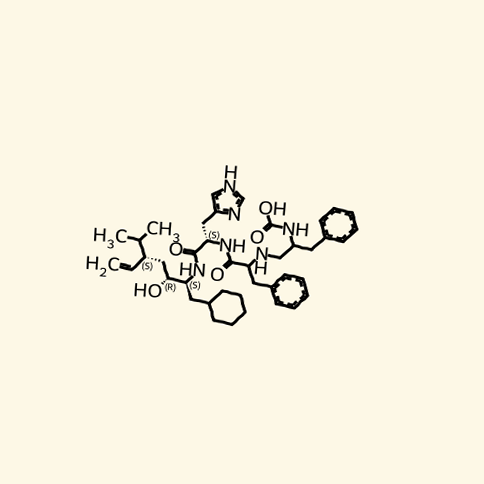 C=C[C@@H](C[C@@H](O)[C@H](CC1CCCCC1)NC(=O)[C@H](Cc1c[nH]cn1)NC(=O)C(Cc1ccccc1)NCC(Cc1ccccc1)NC(=O)O)C(C)C